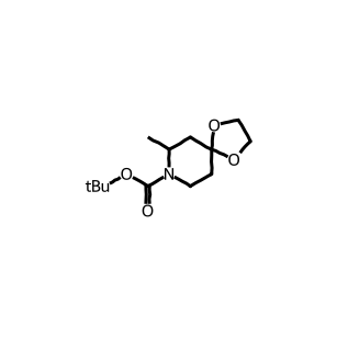 CC1CC2(CCN1C(=O)OC(C)(C)C)OCCO2